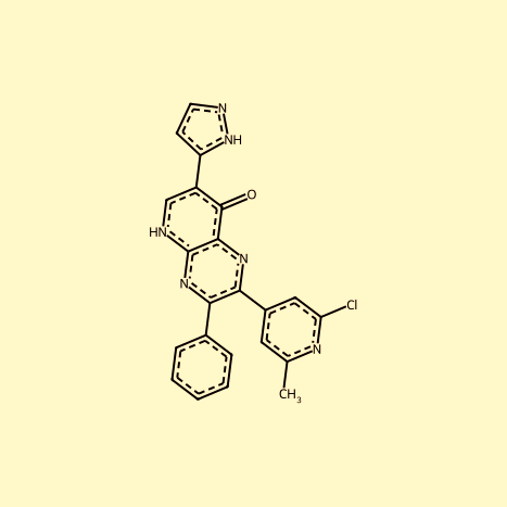 Cc1cc(-c2nc3c(=O)c(-c4ccn[nH]4)c[nH]c3nc2-c2ccccc2)cc(Cl)n1